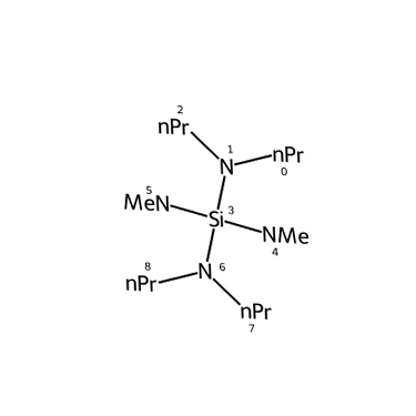 CCCN(CCC)[Si](NC)(NC)N(CCC)CCC